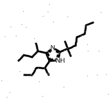 CCCCCC(C)(C)c1nc(C(C)CCC)c(C(C)CCC)[nH]1